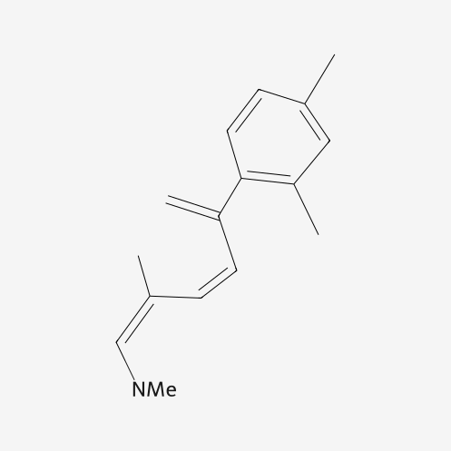 C=C(/C=C\C(C)=C/NC)c1ccc(C)cc1C